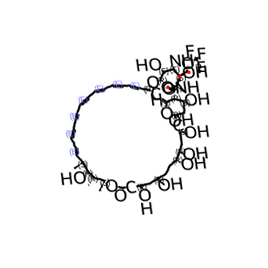 C[C@@H]1[C@H](O)[C@@H](C)/C=C/C=C/C=C/C=C/C=C/C=C/C=C/[C@H](O[C@@H]2O[C@H](C)[C@@H](O)[C@H](N)[C@@H]2O)C[C@@H]2O[C@](O)(C[C@@H](O)C[C@@H](O)[C@H](O)CC[C@@H](O)C[C@@H](O)CC(=O)O[C@H]1C)C[C@H](O)[C@H]2C(=O)NCCOC(F)(F)F